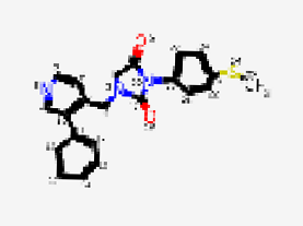 O=C1CN(Cc2ccncc2-c2ccccc2)C(=O)N1c1ccc(SC(F)(F)F)cc1